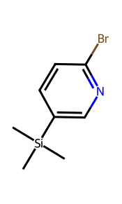 C[Si](C)(C)c1ccc(Br)nc1